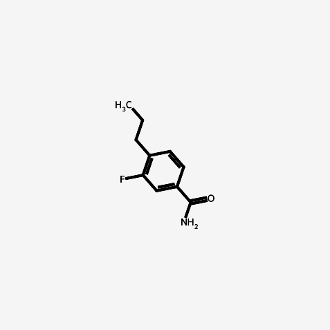 CCCc1ccc(C(N)=O)cc1F